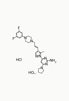 Cc1c(C=CCN2CCN(c3cc(F)cc(F)c3)CC2)cnn1-c1cc(N2CC[C@H](CO)C2)nc(N)n1.Cl